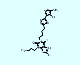 CCCCn1c(=O)n(CCCCc2noc(-c3scc(C)c3Cl)n2)c(=O)c2[nH]c(Cl)nc21